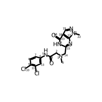 CN(CC(=O)Nc1ccc(Cl)c(Cl)c1)Cc1nc2c(cnn2C)c(=O)[nH]1